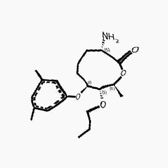 CCCO[C@H]1[C@H](C)OC(=O)[C@@H](N)CCC[C@@H]1Oc1cc(C)cc(C)c1